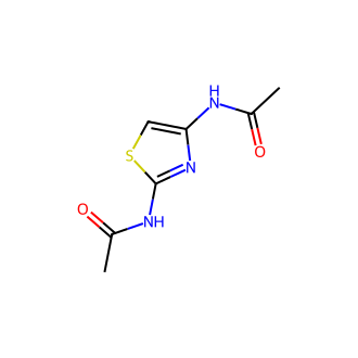 CC(=O)Nc1csc(NC(C)=O)n1